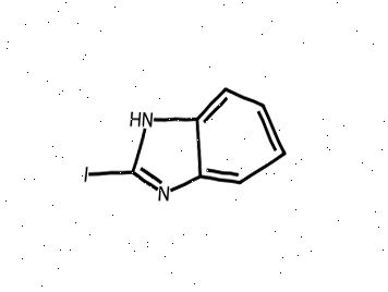 Ic1nc2ccccc2[nH]1